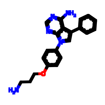 NCCCOc1ccc(-n2cc(-c3ccccc3)c3c(N)ncnc32)cc1